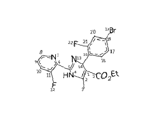 CCOC(=O)C1=C(C)NC(c2ncccc2F)=NC1c1ccc(Br)cc1F